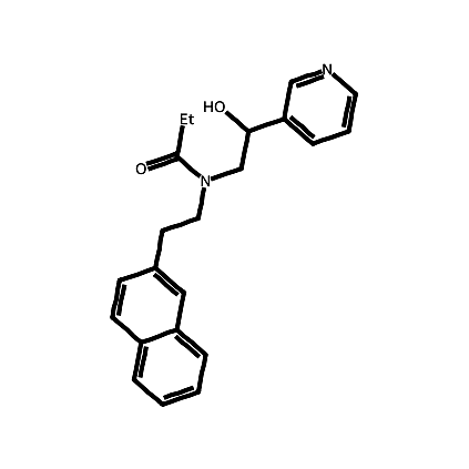 CCC(=O)N(CCc1ccc2ccccc2c1)CC(O)c1cccnc1